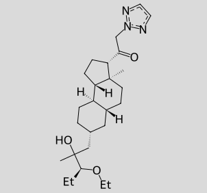 CCO[C@@H](CC)C(C)(O)C[C@@H]1CC[C@@H]2[C@H](CC[C@]3(C)[C@@H](C(=O)Cn4nccn4)CC[C@@H]23)C1